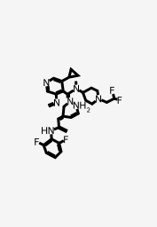 C=Nc1cncc(C2CC2)c1/C(=N\CC(/C=C\N)=C/C(=C)Nc1c(F)cccc1F)N(C)C1CCN(CC(F)F)CC1